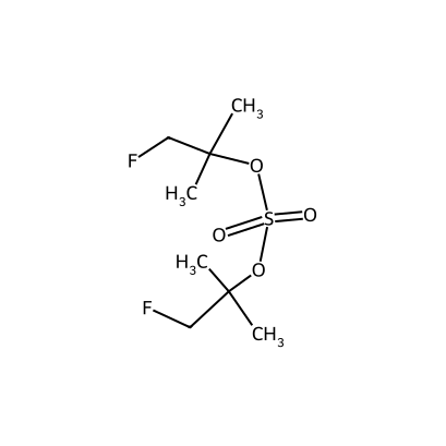 CC(C)(CF)OS(=O)(=O)OC(C)(C)CF